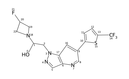 OC(Cn1ncc2ncc(-c3ccc(C(F)(F)F)s3)cc21)N1CC(F)C1